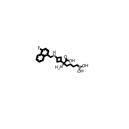 N[C@](CCCCB(O)O)(C(=O)O)C1CC(NCc2ccc(F)c3ccccc23)C1